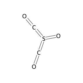 O=C=S(=O)=C=O